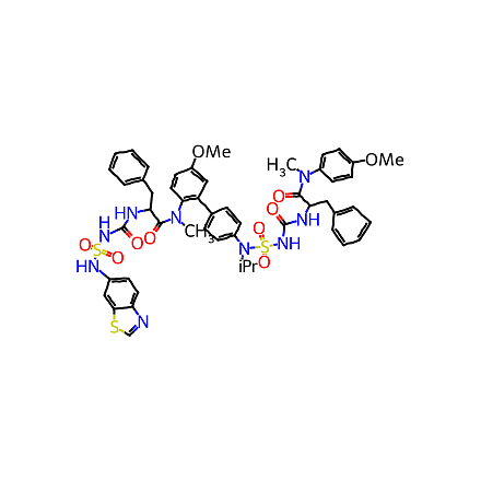 COc1ccc(N(C)C(=O)C(Cc2ccccc2)NC(=O)NS(=O)(=O)N(c2ccc(-c3cc(OC)ccc3N(C)C(=O)C(Cc3ccccc3)NC(=O)NS(=O)(=O)Nc3ccc4ncsc4c3)cc2)C(C)C)cc1